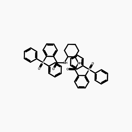 O=C(NC1CCCCC1NC(=O)c1ccccc1P(=O)(c1ccccc1)c1ccccc1)c1ccccc1P(=O)(c1ccccc1)c1ccccc1